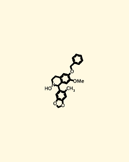 COc1cc2c(cc1OCc1ccccc1)CCN(O)C2c1cc2c(cc1C)OCO2